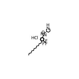 CCCCCCCCCCCc1ccc(-c2noc([C@@H]3CCCNC3)n2)cc1C(F)(F)F.Cl